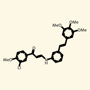 COc1ccc(C(=O)C=CNc2cccc(C=Cc3cc(OC)c(OC)c(OC)c3)c2)cc1Cl